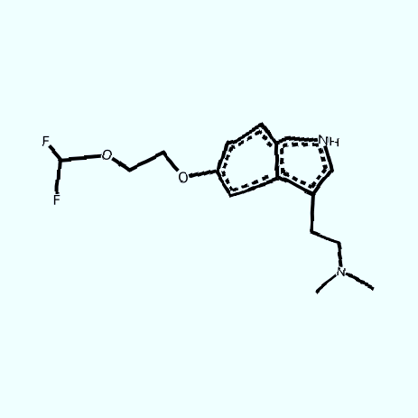 CN(C)CCc1c[nH]c2ccc(OCCOC(F)F)cc12